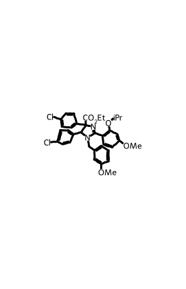 CCOC(=O)C1(c2ccc(Cl)cc2)N=C(c2ccc(OC)cc2OC(C)C)N(Cc2cccc(OC)c2)C1c1ccc(Cl)cc1